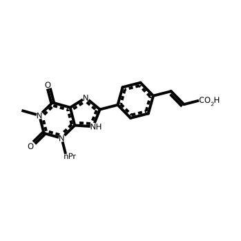 CCCn1c(=O)n(C)c(=O)c2nc(-c3ccc(C=CC(=O)O)cc3)[nH]c21